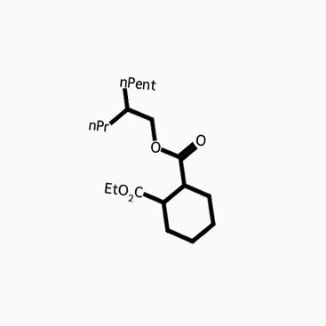 CCCCCC(CCC)COC(=O)C1CCCCC1C(=O)OCC